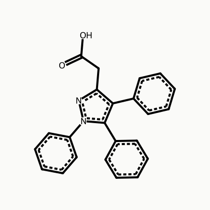 O=C(O)Cc1nn(-c2ccccc2)c(-c2ccccc2)c1-c1ccccc1